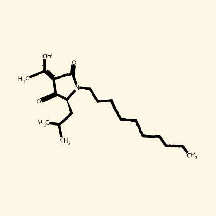 CCCCCCCCCCN1C(=O)/C(=C(/C)O)C(=O)[C@@H]1CC(C)C